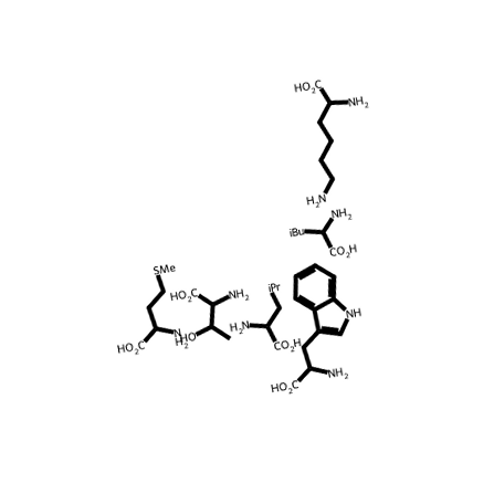 CC(C)CC(N)C(=O)O.CC(O)C(N)C(=O)O.CCC(C)C(N)C(=O)O.CSCCC(N)C(=O)O.NC(Cc1c[nH]c2ccccc12)C(=O)O.NCCCCC(N)C(=O)O